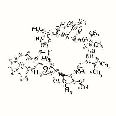 C#SC(C)[C@@H]1NC[C@H](C(C)CC)NC(=O)[C@@H](C(C)C)NC(=O)[C@H](C(C)C)NC(=O)[C@@H](CC(C)C)NC(=O)[C@H](Cc2ccc3ccc4cccc5ccc2c3c45)NC(=O)[C@@H](C(C)C)NC1=O